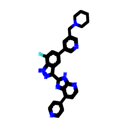 Fc1cc(-c2cncc(CN3CCCCC3)c2)cc2c(-c3nc4c(-c5ccncc5)ccnc4[nH]3)n[nH]c12